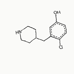 Oc1ccc(Cl)c(CC2CCNCC2)c1